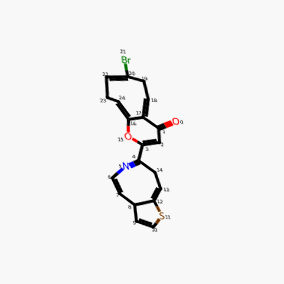 O=c1cc(/C2=N/C=CC3C=CS/C3=C/C2)oc2/c1=C\CC(Br)=CC/C=2